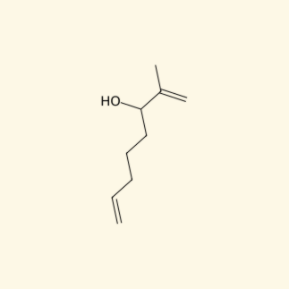 C=CCCCC(O)C(=C)C